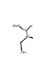 CN[C@@H](Br)[C@@H](C)CO